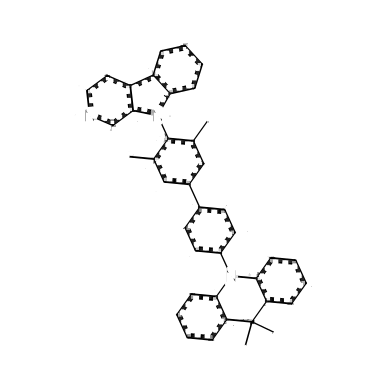 Cc1cc(-c2ccc(N3c4ccccc4C(C)(C)c4ccccc43)cc2)cc(C)c1-n1c2ccccc2c2ccncc21